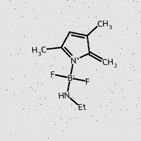 C=C1C(C)=CC(C)=[N+]1[B-](F)(F)NCC